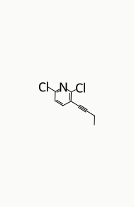 CCC#Cc1ccc(Cl)nc1Cl